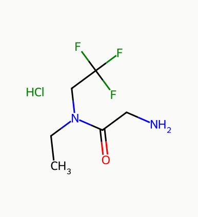 CCN(CC(F)(F)F)C(=O)CN.Cl